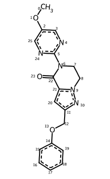 COc1cnc(N2CCn3nc(COc4ccccc4)cc3C2=O)nc1